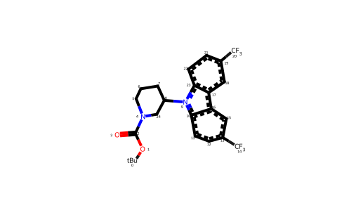 CC(C)(C)OC(=O)N1CCCC(n2c3ccc(C(F)(F)F)cc3c3cc(C(F)(F)F)ccc32)C1